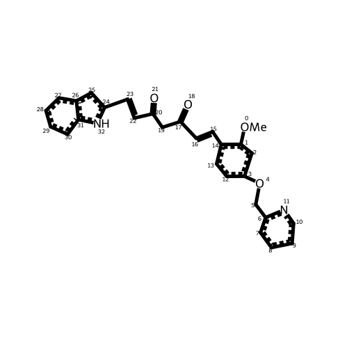 COc1cc(OCc2ccccn2)ccc1/C=C/C(=O)CC(=O)/C=C/c1cc2ccccc2[nH]1